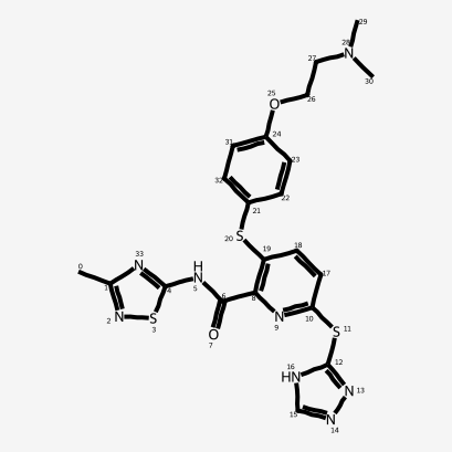 Cc1nsc(NC(=O)c2nc(Sc3nnc[nH]3)ccc2Sc2ccc(OCCN(C)C)cc2)n1